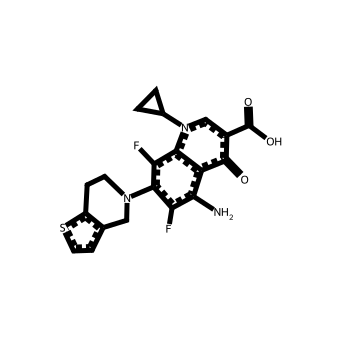 Nc1c(F)c(N2CCc3sccc3C2)c(F)c2c1c(=O)c(C(=O)O)cn2C1CC1